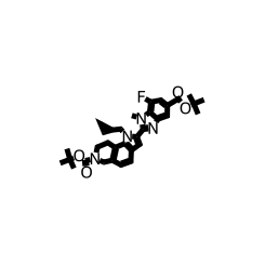 Cn1c(-c2cc3ccc4c(c3n2CC2CC2)CCN(C(=O)OC(C)(C)C)C4)nc2cc(C(=O)OC(C)(C)C)cc(F)c21